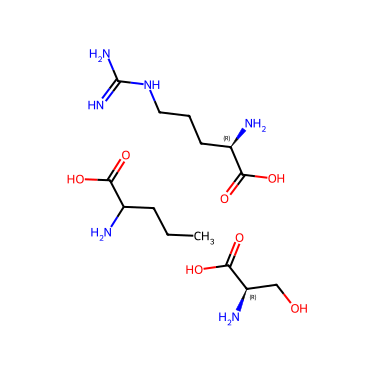 CCCC(N)C(=O)O.N=C(N)NCCC[C@@H](N)C(=O)O.N[C@H](CO)C(=O)O